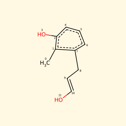 Cc1c(O)cccc1CC=CO